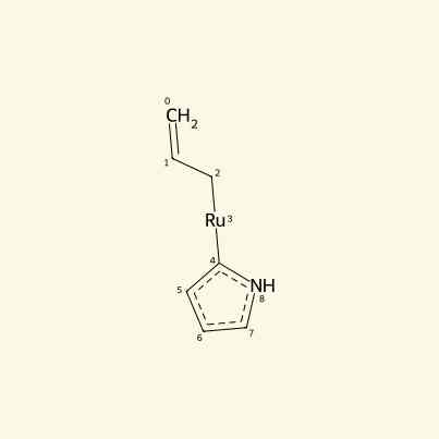 C=C[CH2][Ru][c]1ccc[nH]1